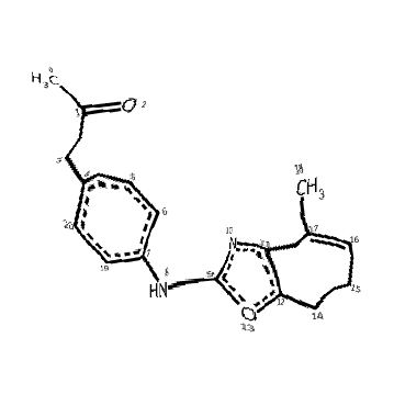 CC(=O)Cc1ccc(Nc2nc3c(o2)CCC=C3C)cc1